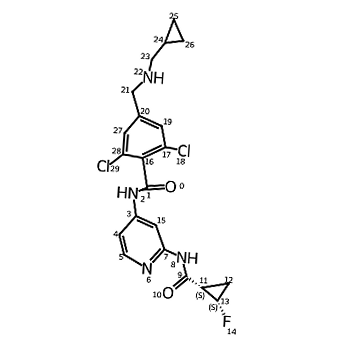 O=C(Nc1ccnc(NC(=O)[C@@H]2C[C@@H]2F)c1)c1c(Cl)cc(CNCC2CC2)cc1Cl